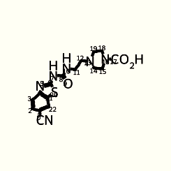 N#Cc1ccc2nc(NC(=O)NCCN3CCN(C(=O)O)CC3)sc2c1